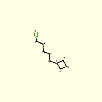 ClCCCCC[C]1CCC1